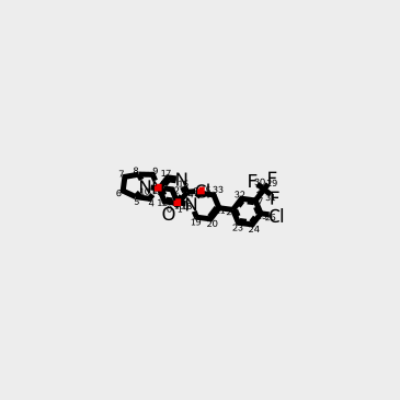 O=C(CN1CC2CCC(C1)N2c1ccc(Cl)nc1)N1CC=C(c2ccc(Cl)c(C(F)(F)F)c2)CC1